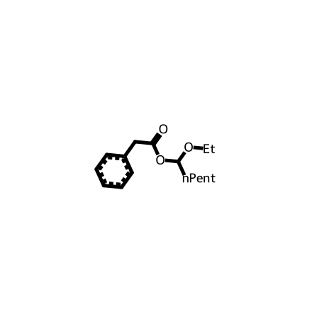 CCCCCC(OCC)OC(=O)Cc1ccccc1